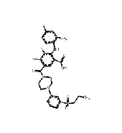 CCCS(=O)(=O)c1cccc(N2CCN(C(=O)c3cc(C(=O)O)c(Nc4ccc(I)cc4C)c(F)c3F)CC2)c1